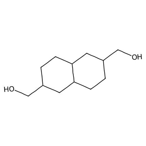 OCC1CCC2CC(CO)CCC2C1